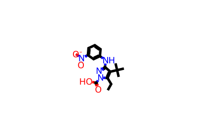 CCc1c(C(C)(C)C)c(Nc2cccc([N+](=O)[O-])c2)nn1C(=O)O